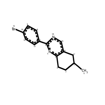 CC1CCc2nc(-c3ccc(Br)cc3)ncc2C1